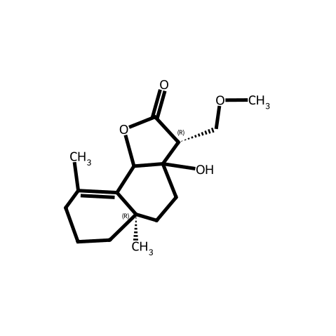 COC[C@H]1C(=O)OC2C3=C(C)CCC[C@]3(C)CCC21O